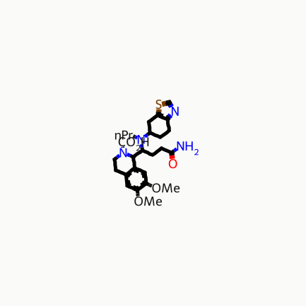 CCCN(C1CCc2ncsc2C1)C(CCC(N)=O)C1c2cc(OC)c(OC)cc2CCN1C(=O)O